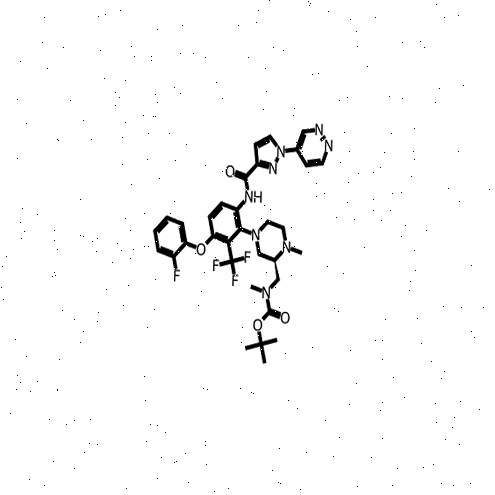 CN(C[C@H]1CN(c2c(NC(=O)c3ccn(-c4ccnnc4)n3)ccc(Oc3ccccc3F)c2C(F)(F)F)CCN1C)C(=O)OC(C)(C)C